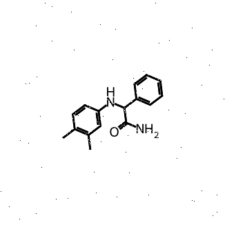 Cc1ccc(NC(C(N)=O)c2ccccc2)cc1C